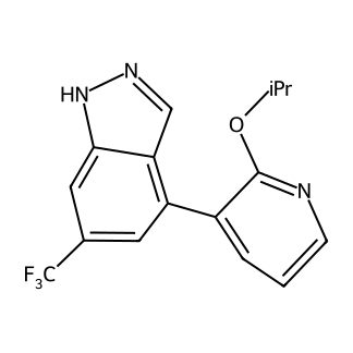 CC(C)Oc1ncccc1-c1cc(C(F)(F)F)cc2[nH]ncc12